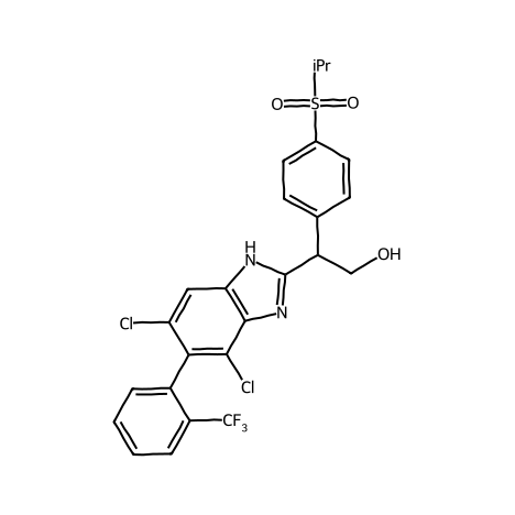 CC(C)S(=O)(=O)c1ccc(C(CO)c2nc3c(Cl)c(-c4ccccc4C(F)(F)F)c(Cl)cc3[nH]2)cc1